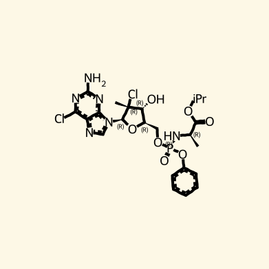 CC(C)OC(=O)[C@@H](C)N[P@@](=O)(OC[C@H]1O[C@@H](n2cnc3c(Cl)nc(N)nc32)[C@](C)(Cl)[C@@H]1O)Oc1ccccc1